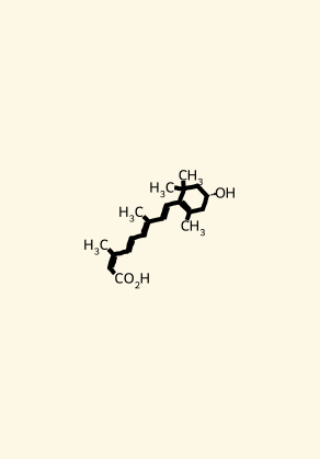 CC1=C(/C=C/C(C)=C/C=C/C(C)=C\C(=O)O)C(C)(C)C[C@H](O)C1